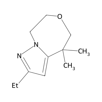 CCc1cc2n(n1)CCOCC2(C)C